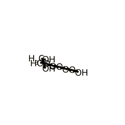 CC(O)C(O)C(CO)OCCOCCOCCOCCOCCO